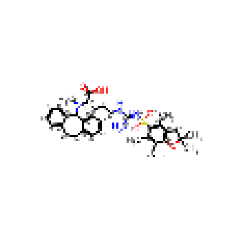 Cc1c(C)c(S(=O)(=O)/N=C(\N)NCCC[C@@H](C(=O)O)N(C)C2c3ccccc3CCc3ccccc32)c(C)c2c1OC(C)(C)C2